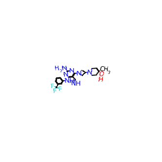 CC1(O)CCN(C2CN(c3nc(N)nc(Nc4cccc(C(F)(F)F)c4)c3C=N)C2)CC1